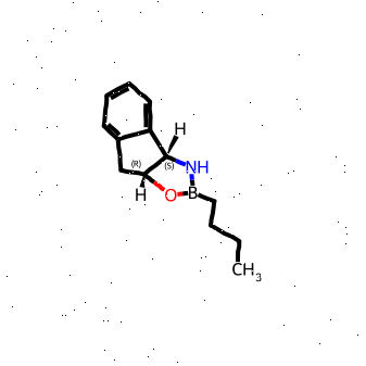 CCCCB1N[C@H]2c3ccccc3C[C@H]2O1